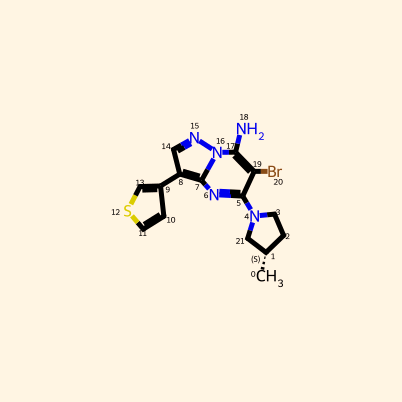 C[C@H]1CCN(c2nc3c(-c4ccsc4)cnn3c(N)c2Br)C1